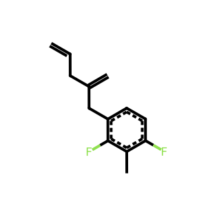 C=CCC(=C)Cc1ccc(F)c(C)c1F